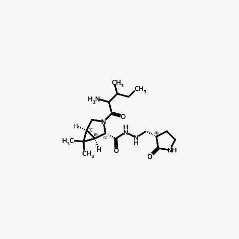 CCC(C)C(N)C(=O)N1C[C@H]2[C@@H]([C@H]1C(=O)NNC[C@@H]1CCNC1=O)C2(C)C